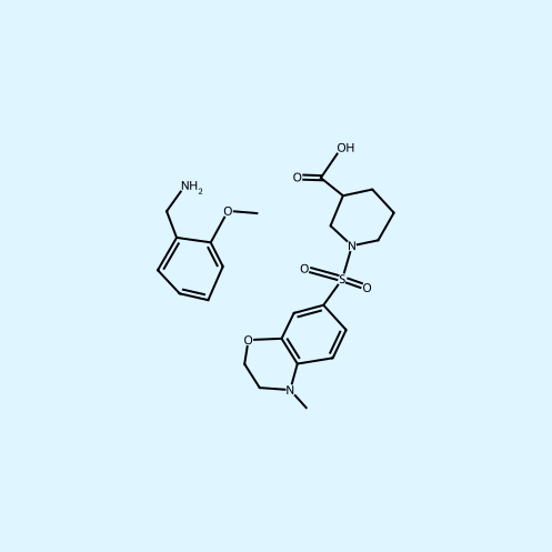 CN1CCOc2cc(S(=O)(=O)N3CCCC(C(=O)O)C3)ccc21.COc1ccccc1CN